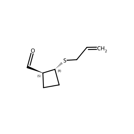 C=CCS[C@@H]1CC[C@H]1C=O